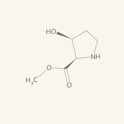 COC(=O)[C@@H]1NCC[C@@H]1O